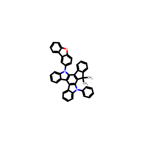 CC1(C)c2ccccc2-c2c1c1c(c3ccccc3n1-c1ccccc1)c1c3ccccc3n(-c3ccc4oc5ccccc5c4c3)c21